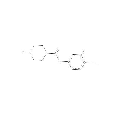 Cc1ccc(NC(=O)N2CCC(C)CC2)cc1Cl